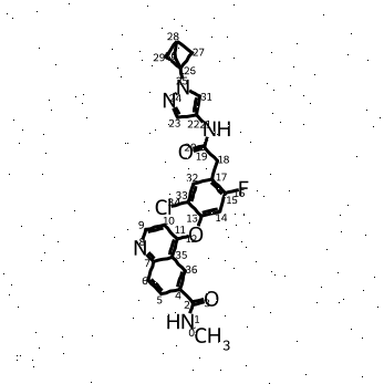 CNC(=O)c1ccc2nccc(Oc3cc(F)c(CC(=O)Nc4cnn(C56CC(C5)C6)c4)cc3Cl)c2c1